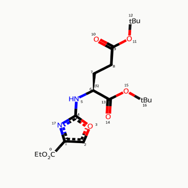 CCOC(=O)c1coc(N[C@@H](CCC(=O)OC(C)(C)C)C(=O)OC(C)(C)C)n1